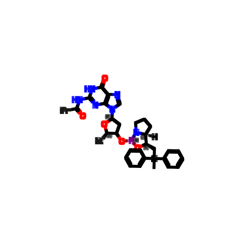 CC[C@H]1O[C@@H](n2cnc3c(=O)[nH]c(NC(=O)C(C)C)nc32)CC1O[P@@]1O[C@H](C[Si](C)(c2ccccc2)c2ccccc2)[C@@H]2CCCN21